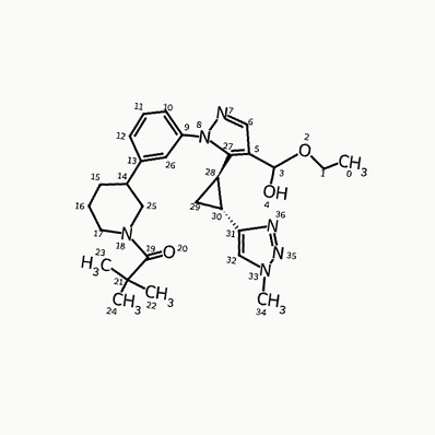 CCOC(O)c1cnn(-c2cccc(C3CCCN(C(=O)C(C)(C)C)C3)c2)c1[C@@H]1C[C@H]1c1cn(C)nn1